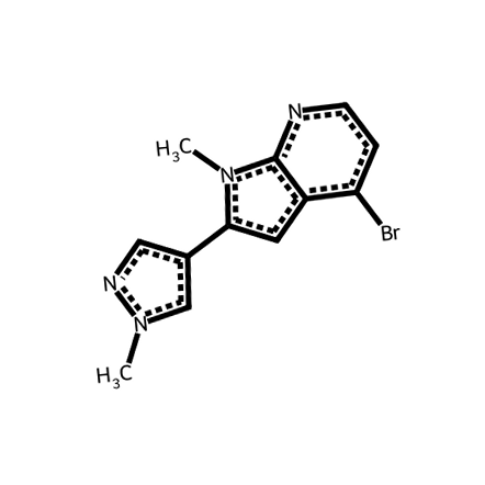 Cn1cc(-c2cc3c(Br)ccnc3n2C)cn1